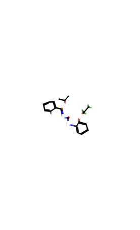 CC(C)OC(=NC(=O)Nc1ccccc1OC(F)(F)C(Cl)Cl)c1ccccc1Cl